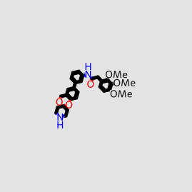 COc1ccc(CC(=O)Nc2cccc(-c3ccc4c(c3)COC3(CCNCC3)O4)c2)c(OC)c1OC